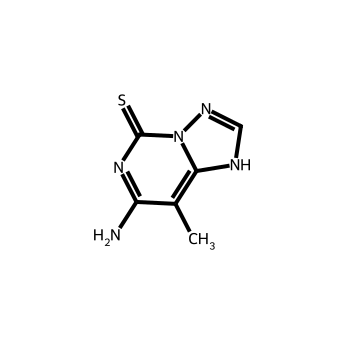 Cc1c(N)nc(=S)n2nc[nH]c12